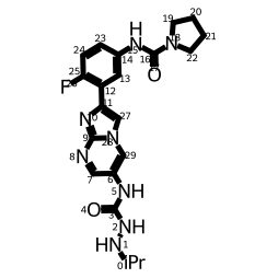 CC(C)NNC(=O)Nc1cnc2nc(-c3cc(NC(=O)N4CCCC4)ccc3F)cn2c1